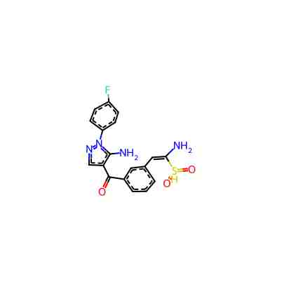 NC(=Cc1cccc(C(=O)c2cnn(-c3ccc(F)cc3)c2N)c1)[SH](=O)=O